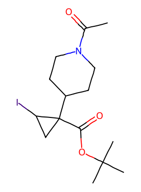 CC(=O)N1CCC(C2(C(=O)OC(C)(C)C)CC2I)CC1